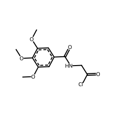 COc1cc(C(=O)NCC(=O)Cl)cc(OC)c1OC